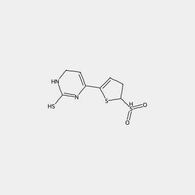 O=[SH](=O)C1CC=C(C2=CCNC(S)=N2)S1